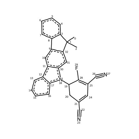 CC1(C)c2ccccc2-c2cc3c4ccccc4n(C4CC(C#N)=CC(C#N)=C4F)c3cc21